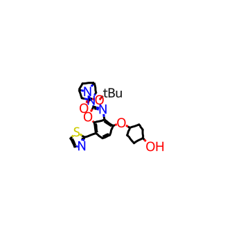 CC(C)(C)OC(=O)N1C2CC1CN(c1nc3c(OC4CCC(O)CC4)ccc(-c4nccs4)c3o1)C2